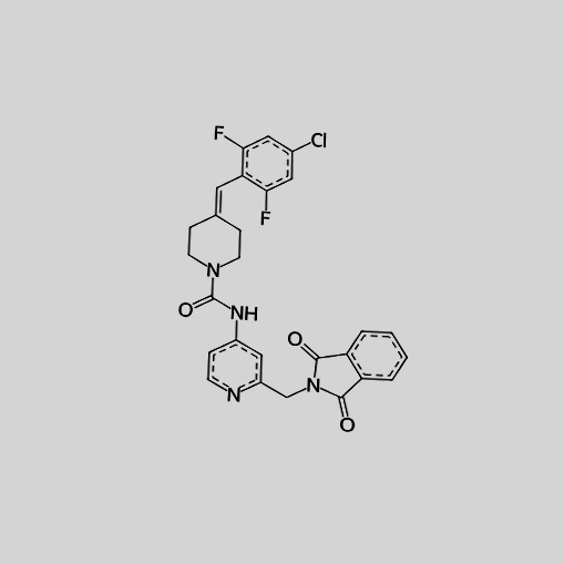 O=C(Nc1ccnc(CN2C(=O)c3ccccc3C2=O)c1)N1CCC(=Cc2c(F)cc(Cl)cc2F)CC1